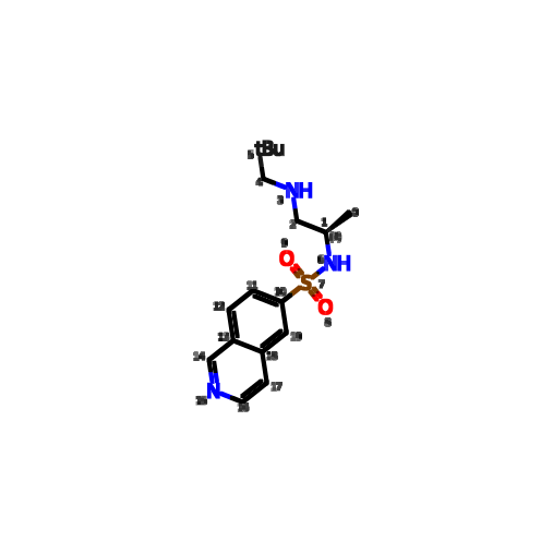 C[C@H](CNCC(C)(C)C)NS(=O)(=O)c1ccc2cnccc2c1